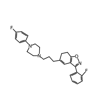 Fc1ccc(N2CCN(CCCC3=Cc4c(-c5ccccc5F)noc4CC3)CC2)cc1